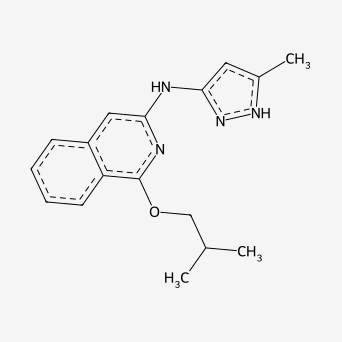 Cc1cc(Nc2cc3ccccc3c(OCC(C)C)n2)n[nH]1